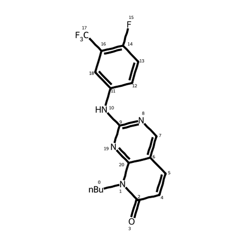 CCCCn1c(=O)ccc2cnc(Nc3ccc(F)c(C(F)(F)F)c3)nc21